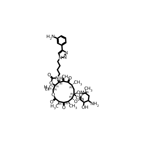 C=C1C(=O)[C@H](C)C[C@@](C)(OC)[C@H](O[C@@H]2O[C@H](C)CC(N)C2O)[C@@H](C)C(=O)[C@@H](C)C(=O)O[C@H](CC)[C@@]2(C)OC(=O)N(CCCCn3cc(-c4cccc(N)c4)nn3)[C@H]12